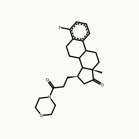 C[C@]12CCC3c4cccc(F)c4CCC3C1[C@H](CCC(=O)N1CCOCC1)CC2=O